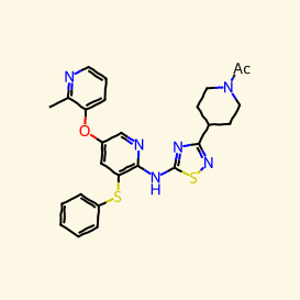 CC(=O)N1CCC(c2nsc(Nc3ncc(Oc4cccnc4C)cc3Sc3ccccc3)n2)CC1